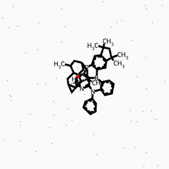 CC1CC2C[C@@H](C)C3=C4C[C@@]4(c4cc5c6c(n4)N(c4ccccc4)c4ccccc4B6c4cc6c(cc4O5)C(C)(C)CC6(C)C)CC1[C@@H]3C2